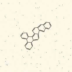 c1ccc2cc3c(ccc4c3ccc3c5ccccc5c5ccccc5c43)cc2c1